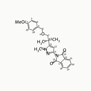 COc1ccc(COCC(C)(C)c2cc(N3C(=O)c4ccccc4C3=O)nn2C)cc1